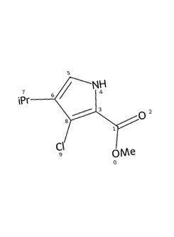 COC(=O)c1[nH]cc(C(C)C)c1Cl